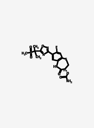 CC(C)(c1nc(-c2cc3c(cc2F)SC[C@H](OC(N)=O)C(=O)N3)no1)S(C)(=O)=O